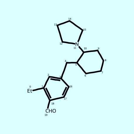 CCc1cc(CC2CCCCC2N2CCCC2)ccc1C=O